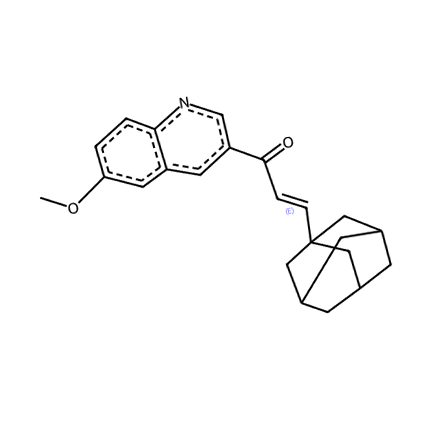 COc1ccc2ncc(C(=O)/C=C/C34CC5CC(CC(C5)C3)C4)cc2c1